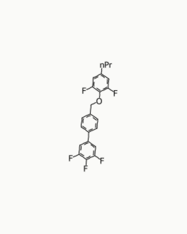 CCCc1cc(F)c(OCc2ccc(-c3cc(F)c(F)c(F)c3)cc2)c(F)c1